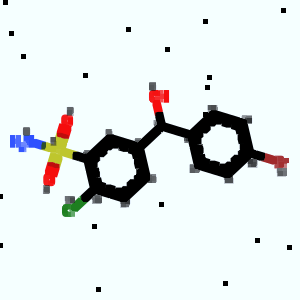 NS(=O)(=O)c1cc(C(O)c2ccc(Br)cc2)ccc1Cl